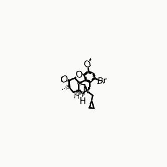 COc1cc(Br)c2c3c1OC1C(=O)[C@@H](C)C[C@H]4[C@@H](C2)N(CC2CC2)CC[C@]314